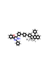 CC1(C)c2cc(-c3ccc(-c4cccc(C5=c6oc7ccccc7c6=NC(c6ccccc6)N5)c4)cc3)ccc2-c2c1cc1ccccc1c2-c1ccccc1